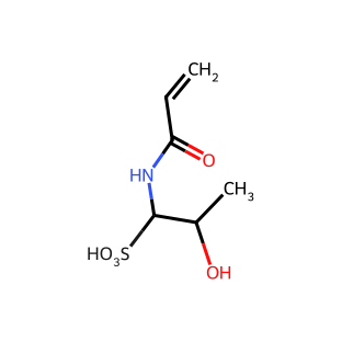 C=CC(=O)NC(C(C)O)S(=O)(=O)O